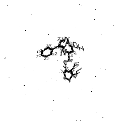 Oc1cc(CSc2cccc(F)c2F)nc2c(-c3ccccc3)cnn12